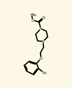 CC(=O)c1ccccc1OCCN1CCN(C(=O)OC(C)(C)C)CC1